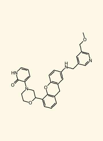 COCc1cncc(CNc2ccc3c(c2)Cc2cccc(C4CN(c5ccc[nH]c5=O)CCO4)c2O3)c1